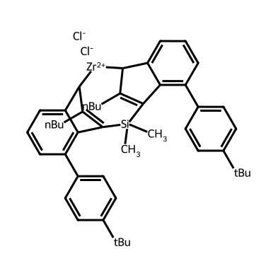 CCCCC1=C2c3c(-c4ccc(C(C)(C)C)cc4)cccc3[CH]1[Zr+2][CH]1C(CCCC)=C(c3c(-c4ccc(C(C)(C)C)cc4)cccc31)[Si]2(C)C.[Cl-].[Cl-]